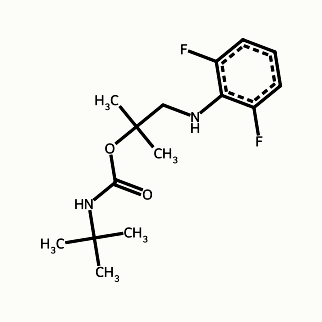 CC(C)(C)NC(=O)OC(C)(C)CNc1c(F)cccc1F